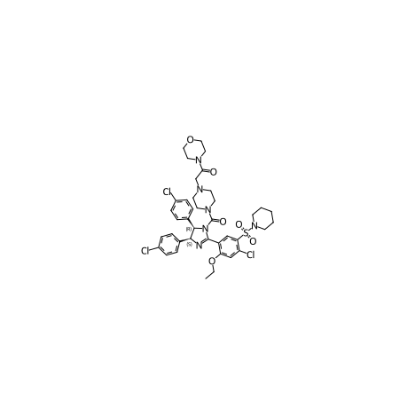 CCOc1cc(Cl)c(S(=O)(=O)N2CCCCC2)cc1C1=N[C@@H](c2ccc(Cl)cc2)[C@@H](c2ccc(Cl)cc2)N1C(=O)N1CCN(CC(=O)N2CCOCC2)CC1